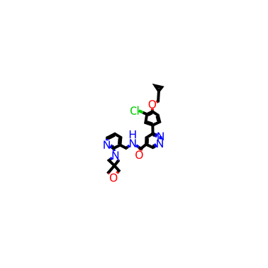 O=C(NCc1cccnc1N1CC2(COC2)C1)c1cnnc(-c2ccc(OCC3CC3)c(Cl)c2)c1